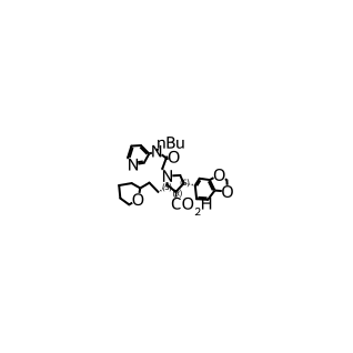 CCCCN(C(=O)CN1C[C@H](c2ccc3c(c2)OCO3)[C@@H](C(=O)O)[C@@H]1CCC1CCCCO1)c1cccnc1